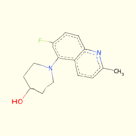 Cc1ccc2c(N3CCC(O)CC3)c(F)ccc2n1